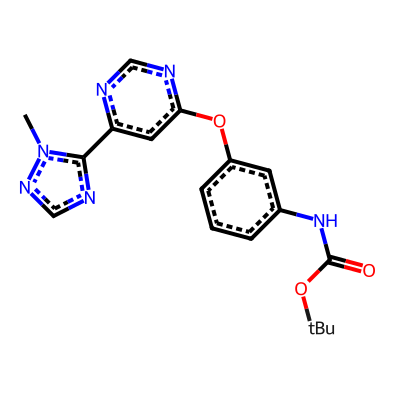 Cn1ncnc1-c1cc(Oc2cccc(NC(=O)OC(C)(C)C)c2)ncn1